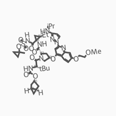 CC[C@@H]1C[C@]1(NC(=O)[C@@H]1C[C@@H](Oc2cc(-n3ccc(NC(C)C)n3)nc3cc(OCCOC)ccc23)CN1C(=O)[C@@H](NC(=O)O[C@@H]1C[C@@H]2C[C@@H]2C1)C(C)(C)C)C(=O)NS(=O)(=O)OC1(C)CC1